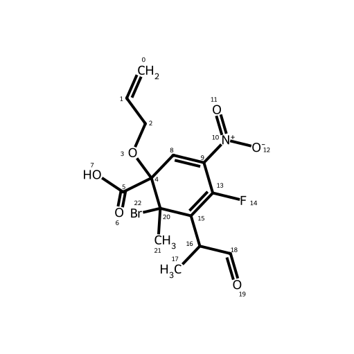 C=CCOC1(C(=O)O)C=C([N+](=O)[O-])C(F)=C(C(C)C=O)C1(C)Br